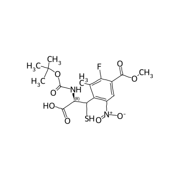 COC(=O)c1cc([N+](=O)[O-])c(C(S)[C@H](NC(=O)OC(C)(C)C)C(=O)O)c(C)c1F